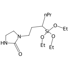 CCCC(CCN1CCNC1=O)[Si](OCC)(OCC)OCC